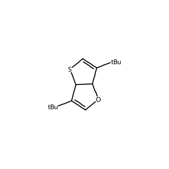 CC(C)(C)C1=CSC2C(C(C)(C)C)=COC12